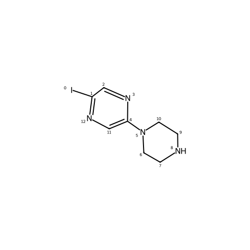 Ic1cnc(N2CCNCC2)cn1